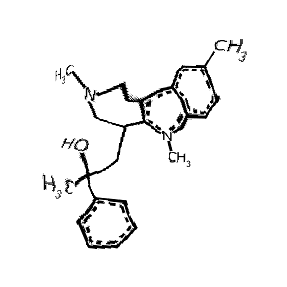 Cc1ccc2c(c1)c1c(n2C)C(CC(C)(O)c2ccccc2)CN(C)C1